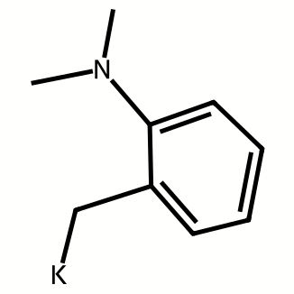 CN(C)c1ccccc1[CH2][K]